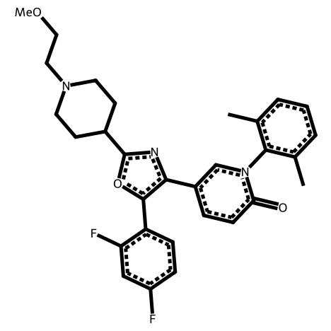 COCCN1CCC(c2nc(-c3ccc(=O)n(-c4c(C)cccc4C)c3)c(-c3ccc(F)cc3F)o2)CC1